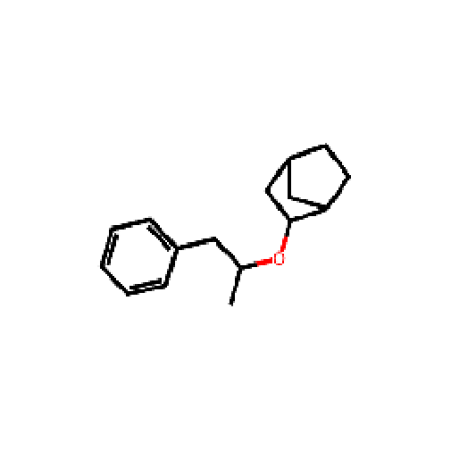 CC(Cc1ccccc1)OC1CC2CCC1C2